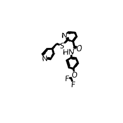 O=C(Nc1ccc(OC(F)F)cc1)c1cccnc1SCC1C=CN=CC1